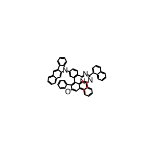 c1ccc(-c2nc(-c3ccc(-n4c5ccccc5c5cc6ccccc6cc54)cc3-c3c4ccccc4cc4oc5ccccc5c34)nc(-c3cccc4ccccc34)n2)cc1